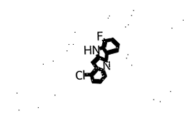 Fc1cccc2c1[nH]c1cc3c(Cl)cccc3nc12